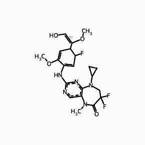 COC1=CC(/C(=C\O)OC)C(F)C=C1Nc1ncc2c(n1)N(C1CC1)CC(F)(F)C(=O)N2C